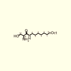 CCCCCCCCCCCCCCNC(=O)C(N)CO